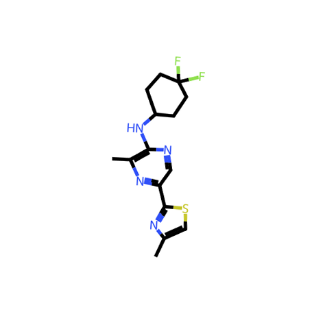 Cc1csc(-c2cnc(NC3CCC(F)(F)CC3)c(C)n2)n1